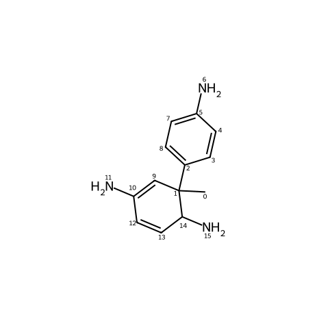 CC1(c2ccc(N)cc2)C=C(N)C=CC1N